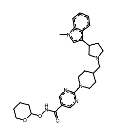 Cn1cc(C2CCN(CC3CCN(c4ncc(C(=O)NOC5CCCCO5)cn4)CC3)C2)c2ccccc21